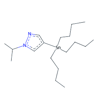 CCC[CH2][Sn]([CH2]CCC)([CH2]CCC)[c]1cnn(C(C)C)c1